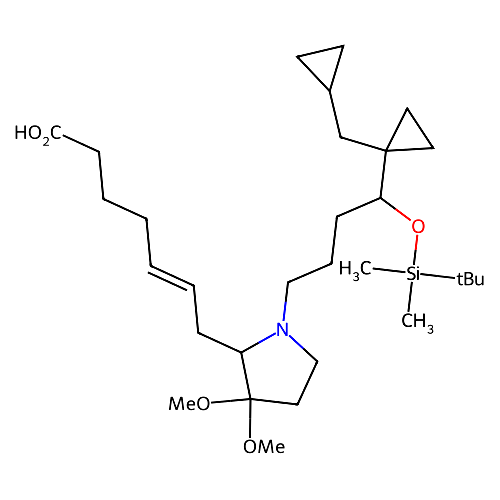 COC1(OC)CCN(CCCC(O[Si](C)(C)C(C)(C)C)C2(CC3CC3)CC2)C1CC=CCCCC(=O)O